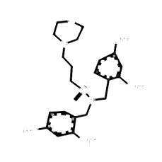 COc1ccc(CN(Cc2ccc(OC)cc2OC)S(=O)(=O)CCCN2CCOCC2)c(OC)c1